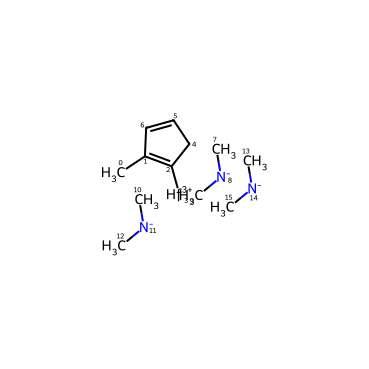 CC1=[C]([Hf+3])CC=C1.C[N-]C.C[N-]C.C[N-]C